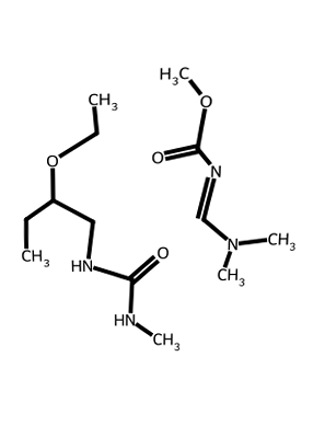 CCOC(CC)CNC(=O)NC.COC(=O)N=CN(C)C